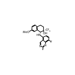 COc1ccc2c(c1)[C@@H](Nc1ccc(F)c3nc(C)ncc13)[C@@](O)(C(F)(F)F)CC2